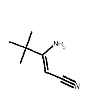 CC(C)(C)C(N)=CC#N